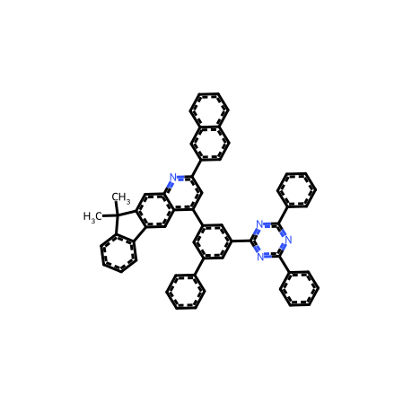 CC1(C)c2ccccc2-c2cc3c(-c4cc(-c5ccccc5)cc(-c5nc(-c6ccccc6)nc(-c6ccccc6)n5)c4)cc(-c4ccc5ccccc5c4)nc3cc21